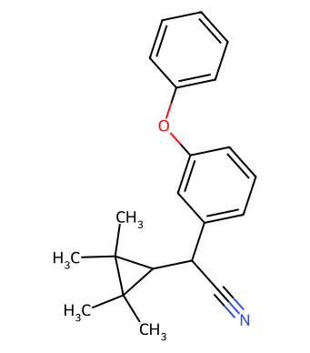 CC1(C)C(C(C#N)c2cccc(Oc3ccccc3)c2)C1(C)C